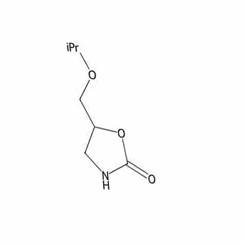 CC(C)OCC1CNC(=O)O1